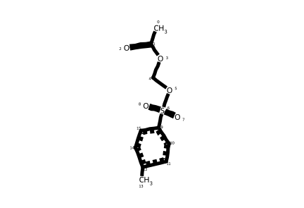 CC(=O)OCOS(=O)(=O)c1ccc(C)cc1